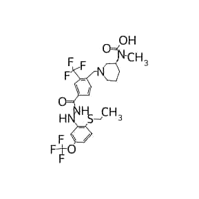 CCSc1ccc(OC(F)(F)F)cc1NNC(=O)c1ccc(CN2CCC[C@H](N(C)C(=O)O)C2)c(C(F)(F)F)c1